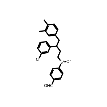 Cc1ccc(CC(CC[S+]([O-])c2ccc(C=O)cc2)c2cccc(Cl)c2)cc1C